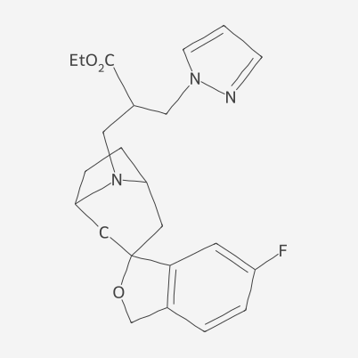 CCOC(=O)C(CN1C2CCC1CC1(C2)OCc2ccc(F)cc21)Cn1cccn1